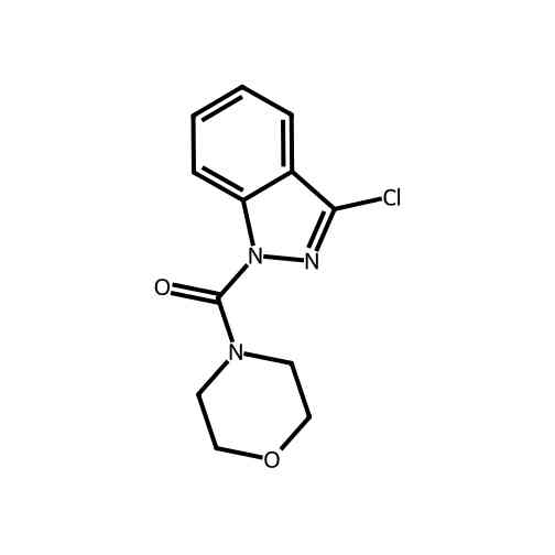 O=C(N1CCOCC1)n1nc(Cl)c2ccccc21